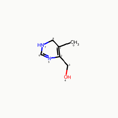 CC1=C(CO)N=CNC1